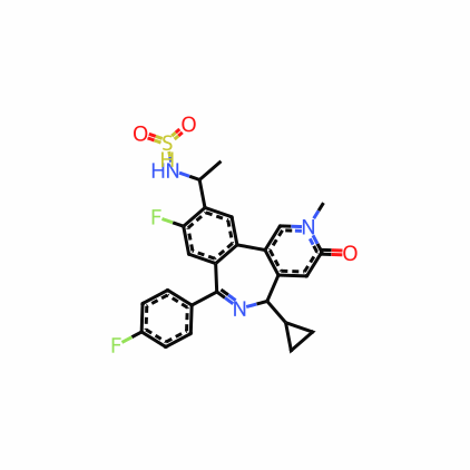 CC(N[SH](=O)=O)c1cc2c(cc1F)C(c1ccc(F)cc1)=NC(C1CC1)c1cc(=O)n(C)cc1-2